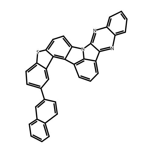 c1ccc2cc(-c3ccc4sc5ccc6c(c7cccc8c9nc%10ccccc%10nc9n6c87)c5c4c3)ccc2c1